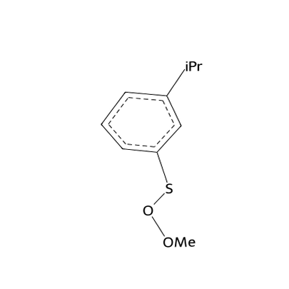 COOSc1cccc(C(C)C)c1